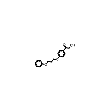 O=C(CO)c1ccc(OCCCOc2ccccc2)cc1